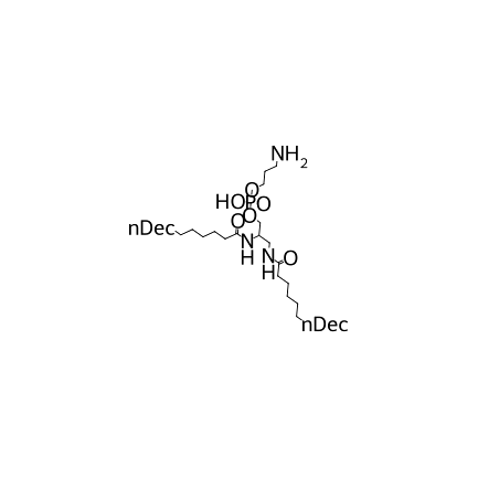 CCCCCCCCCCCCCCCC(=O)NCC(COP(=O)(O)OCCCN)NC(=O)CCCCCCCCCCCCCCC